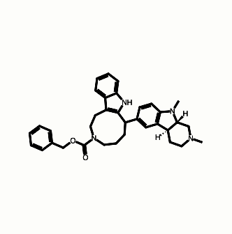 CN1CC[C@H]2c3cc(C4CCCN(C(=O)OCc5ccccc5)CCc5c4[nH]c4ccccc54)ccc3N(C)[C@@H]2C1